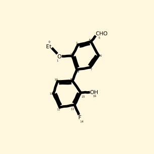 CCOc1cc(C=O)ccc1-c1cccc(F)c1O